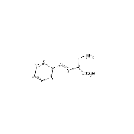 NCC(C=Cc1ccccc1)C(=O)O